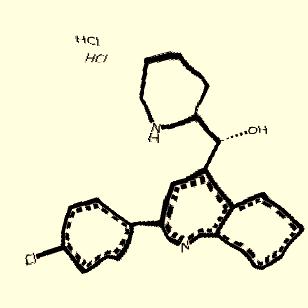 Cl.Cl.O[C@H](c1cc(-c2ccc(Cl)cc2)nc2ccccc12)[C@@H]1CCCCN1